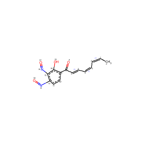 C\C=C/C=C\C=C\C(=O)c1ccc(N=O)c(N=O)c1O